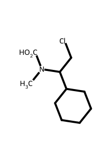 CN(C(=O)O)C(CCl)C1CCCCC1